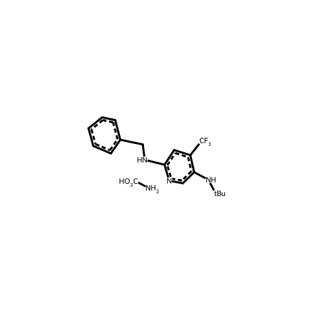 CC(C)(C)Nc1cnc(NCc2ccccc2)cc1C(F)(F)F.NC(=O)O